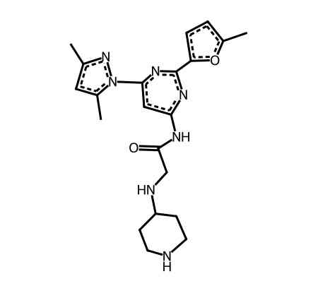 Cc1cc(C)n(-c2cc(NC(=O)CNC3CCNCC3)nc(-c3ccc(C)o3)n2)n1